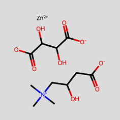 C[N+](C)(C)CC(O)CC(=O)[O-].O=C([O-])C(O)C(O)C(=O)[O-].[Zn+2]